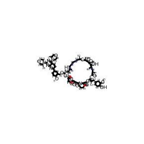 COc1ccc(-c2ccc3c(N4CCOC[C@@H]4C)nc(N4CCOC[C@@H]4C)nc3n2)cc1COC(=O)NC1C[C@@H]2CC[C@@H](C)[C@@](O)(O2)C(=O)C(=O)N2CCCC[C@H]2C(=O)O[C@H]([C@H](C)C[C@@H]2CC[C@@H](O)[C@H](OC)C2)CC(=O)[C@H](C)/C=C(\C)[C@@H](O)[C@@H](OC)C(=O)[C@H](C)C[C@H](C)/C=C/C=C/C=C/1C